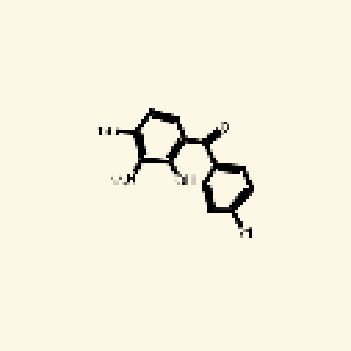 CC(C)(C)c1ccc(C(=O)c2ccc(Cl)cc2)c(O)c1[N+](=O)[O-]